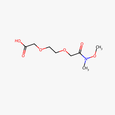 CON(C)C(=O)COCCOCC(=O)O